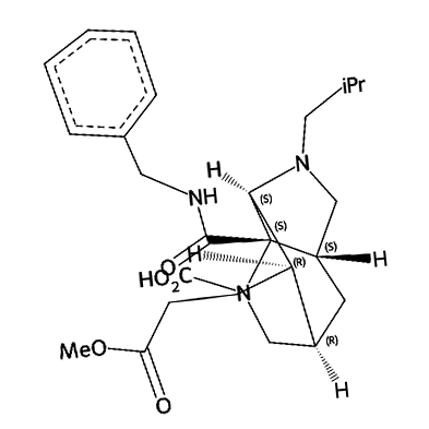 COC(=O)CC[C@@H]1[C@H]2C[C@H]3CN(CC(C)C)[C@@H]1[C@@]3(C(=O)NCc1ccccc1)N(C(=O)O)C2